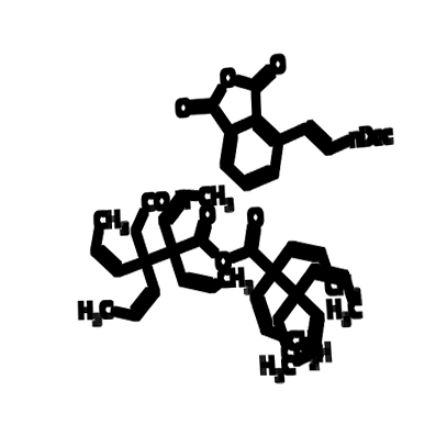 C/C=C\C(/C=C\C)(CC(=O)O)C(/C=C\C)(/C=C\C)C(=O)OC(=O)C(/C=C\C)(/C=C\C)C(/C=C\C)(/C=C\C)CC(=O)O.CCCCCCCCCC/C=C/c1cccc2c1C(=O)OC2=O